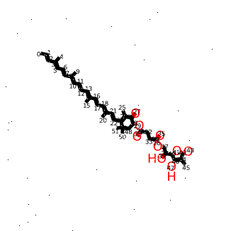 C/C=C/C(C)=C/C=C/C(C)=C/C=C/C=C(C)/C=C/C=C(C)/C=C/C1=C(C)C(=O)C(OC(=O)CCC(=O)OCC(O)C2OC(=O)C(C)=C2O)CC1(C)C